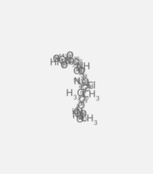 CC(C)(c1ccc(OCc2ccnc(S(C)(=O)=O)n2)cc1)c1cc(Cl)c(OCCCOC(=O)Nc2ccc3c(c2)CN(C2CCC(=O)NC2=O)C3=O)c(C#N)c1